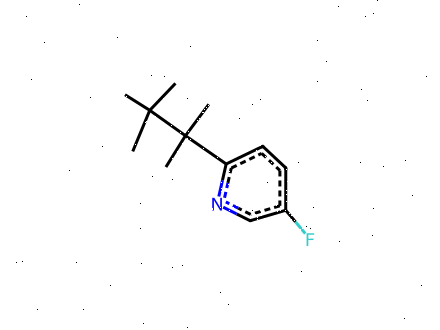 CC(C)(C)C(C)(C)c1ccc(F)cn1